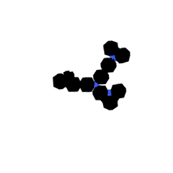 CC1(C)c2ccccc2-c2ccc(-c3ccc(N(c4ccc(-c5ccc(-n6c7ccccc7c7ccccc76)cc5)cc4)c4ccc5c6cccc7c8ccccc8n(c5c4)c76)cc3)cc21